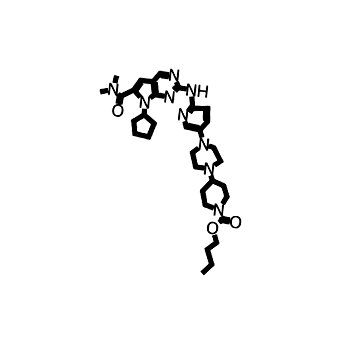 CCCCOC(=O)N1CCC(N2CCN(c3ccc(Nc4ncc5cc(C(=O)N(C)C)n(C6CCCC6)c5n4)nc3)CC2)CC1